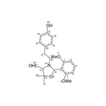 COc1cccc(OC)c1C1OC(C)(C)C(C=O)N1CCc1ccc(O)cc1